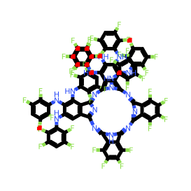 Fc1cc(F)c(F)c(Nc2cc3c(c(Nc4c(F)c(F)cc(F)c4F)c2Nc2c(F)c(F)cc(F)c2F)-c2nc-3nc3[nH]c(nc4nc(nc5c6c(Nc7c(F)c(F)cc(F)c7F)c(Nc7c(F)c(F)cc(F)c7F)c(Nc7c(F)c(F)cc(F)c7F)c(Nc7c(F)c(F)cc(F)c7F)c6c(n2)n5Nc2c(F)c(F)cc(F)c2F)-c2c(F)c(F)c(F)c(F)c2-4)c2c(F)c(F)c(F)c(F)c32)c1F